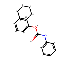 O=C(Nc1ccccc1)Oc1cccc2c1CCCC2